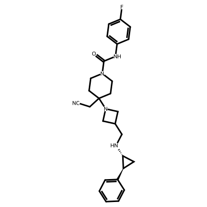 N#CCC1(N2CC(CN[C@@H]3C[C@H]3c3ccccc3)C2)CCN(C(=O)Nc2ccc(F)cc2)CC1